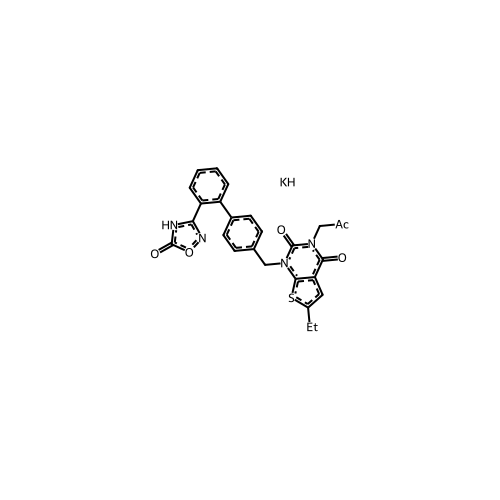 CCc1cc2c(=O)n(CC(C)=O)c(=O)n(Cc3ccc(-c4ccccc4-c4noc(=O)[nH]4)cc3)c2s1.[KH]